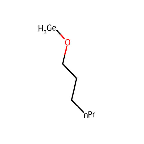 CCCCCC[O][GeH3]